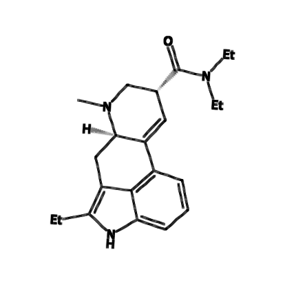 CCc1[nH]c2cccc3c2c1C[C@@H]1C3=C[C@@H](C(=O)N(CC)CC)CN1C